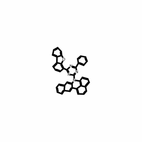 c1ccc(-c2nc(-c3cccc4c3oc3ccccc34)nc(N3c4cc5ccccc5cc4-c4cccc5cccc3c45)n2)cc1